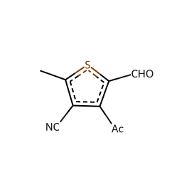 CC(=O)c1c(C=O)sc(C)c1C#N